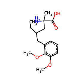 CCC(Cc1cccc(OC)c1OC)CC(C)(N)C(=O)O